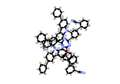 N#Cc1cccc(-c2ccc(-c3nc(-c4ccc(-c5ccccc5C#N)cc4-n4c5ccc(-c6ccccc6)cc5c5cc(-c6ccccc6)ccc54)nc(-c4ccc(-c5ccccc5C#N)cc4-n4c5ccc(-c6ccccc6)cc5c5cc(-c6ccccc6)ccc54)n3)cc2)c1